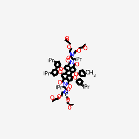 Cc1ccc(Oc2cc3c4c(cc(Oc5ccc(C(C)C)cc5)c5c6c(Oc7ccc(C(C)C)cc7)cc7c8c(cc(Oc9ccc(C(C)C)cc9)c(c2c45)c86)C(=O)N(C(C(=O)N(CCOCC2CO2)CCOCC2CO2)C(C)C)C7=O)C(=O)N(C(C(=O)N(CCOCC2CO2)CCOCC2CO2)C(C)C)C3=O)cc1